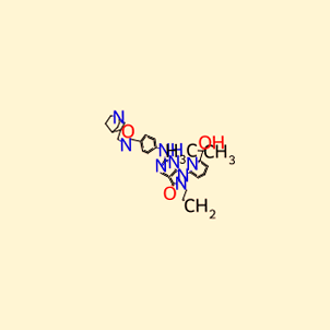 C=CCn1c(=O)c2cnc(Nc3ccc(C4=NCC5(CN6CCC5CC6)O4)cc3)nc2n1-c1cccc(C(C)(C)O)n1